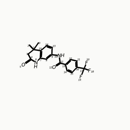 CC1(C)CC(=O)Nc2cc(NC(=O)c3ccc(C(F)(F)F)cc3)ccc21